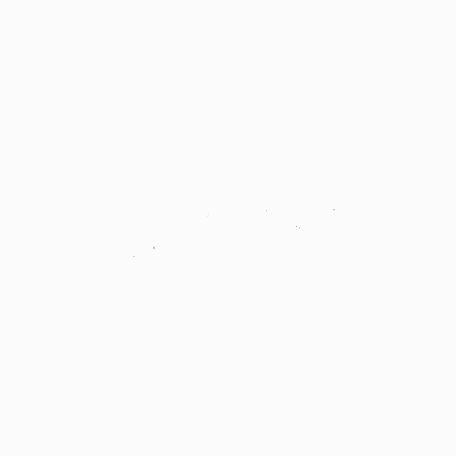 CCN(C(=O)O)C1=N[C@H]2[C@H](O[C@H](CO[Si](C)(C)C(C)(C)C)C(=O)[C@@H]2F)S1